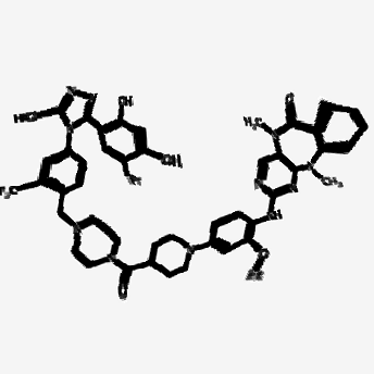 CCOc1cc(N2CCC(C(=O)N3CCN(Cc4ccc(-n5c(O)nnc5-c5cc(C(C)C)c(O)cc5O)cc4C(F)(F)F)CC3)CC2)ccc1Nc1ncc2c(n1)N(C)c1ccccc1C(=O)N2C